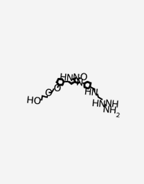 N=C(N)NCCCNCc1ccc(-n2cc3cc(-c4cccc(OCCOCCCO)c4)[nH]c3nc2=O)cc1